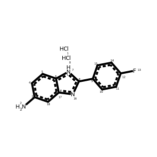 Cl.Cl.Nc1ccc2[nH]c(-c3ccc(F)cc3)nc2c1